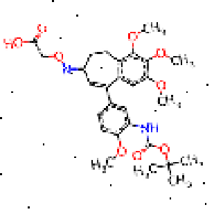 COc1ccc(C2=C/C(=N/OCC(=O)O)CCc3c2cc(OC)c(OC)c3OC)cc1NC(=O)OC(C)(C)C